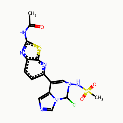 CC(=O)Nc1nc2ccc(C3=CN(NS(C)(=O)=O)C(Cl)[N+]4C=NC=C34)nc2s1